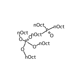 CCCCCCCCOP(=O)(OCCCCCCCC)OCCCCCCCC.CCCCCCCCP(=O)(CCCCCCCC)CCCCCCCC